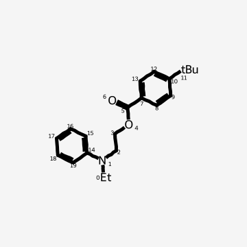 CCN(CCOC(=O)c1ccc(C(C)(C)C)cc1)c1ccccc1